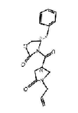 C=CCN1C[C@H](C(=O)N2C(=O)OC[C@@H]2Cc2ccccc2)CC1=O